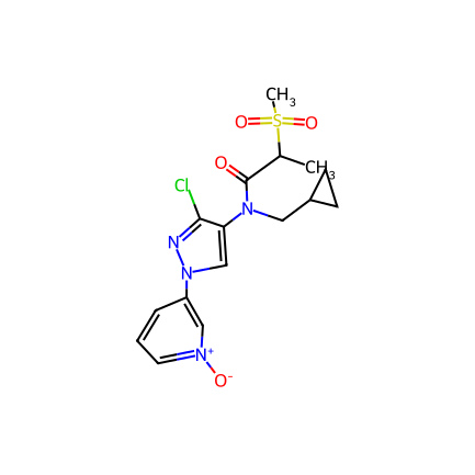 CC(C(=O)N(CC1CC1)c1cn(-c2ccc[n+]([O-])c2)nc1Cl)S(C)(=O)=O